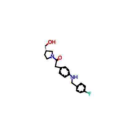 O=C(Cc1ccc(NCc2ccc(F)cc2)cc1)N1CC[C@H](CO)C1